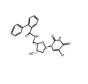 CCc1cn([C@H]2C[C@H](O)[C@@H](CNC(=O)c3ccccc3-c3ccccc3)O2)c(=O)[nH]c1=O